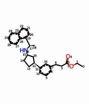 CCOC(=O)CCc1cccc([C@H]2CC[C@@H](N[C@H](C)c3cccc4ccccc34)C2)c1